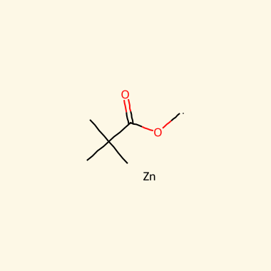 [CH2]OC(=O)C(C)(C)C.[Zn]